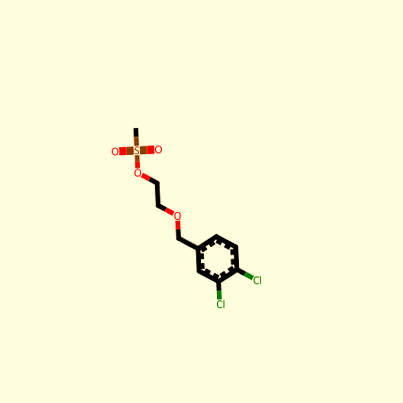 CS(=O)(=O)OCCOCc1ccc(Cl)c(Cl)c1